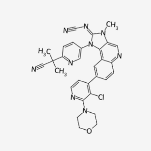 Cn1/c(=N/C#N)n(-c2ccc(C(C)(C)C#N)nc2)c2c3cc(-c4ccnc(N5CCOCC5)c4Cl)ccc3ncc21